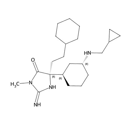 CN1C(=N)N[C@](CCC2CCCCC2)([C@@H]2CCC[C@@H](NCC3CC3)C2)C1=O